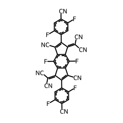 N#CC(C#N)=C1C(c2cc(F)c(C#N)cc2F)=C(C#N)c2c(F)c3c(c(F)c21)C(C#N)=C(c1cc(F)c(C#N)cc1F)C3=C(C#N)C#N